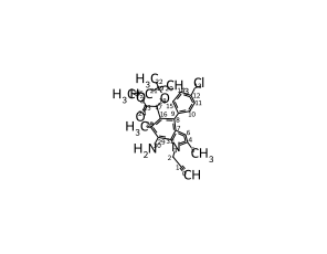 C#CCn1c(C)cc2c(-c3ccc(Cl)cc3)c([C@H](OC(C)(C)C)C(=O)OC)c(C)c(N)c21